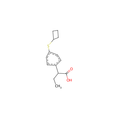 CCC(C(=O)O)c1ccc(SC2CCC2)cc1